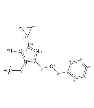 CCn1c(COCc2ccccc2)nc(C2CC2)c1I